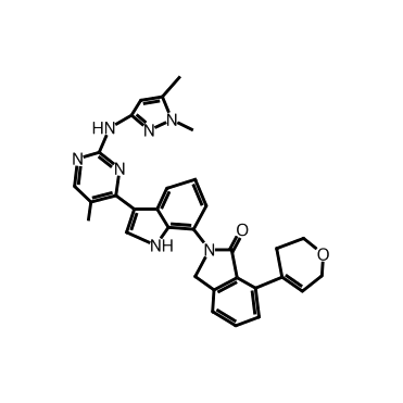 Cc1cnc(Nc2cc(C)n(C)n2)nc1-c1c[nH]c2c(N3Cc4cccc(C5=CCOCC5)c4C3=O)cccc12